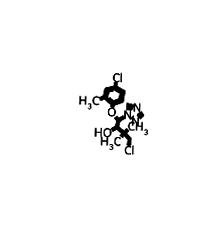 Cc1cc(Cl)ccc1OC(C(O)C(C)(C)CCl)n1cncn1